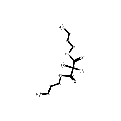 CCCCNC(=O)C(C)(C)C(=O)NCCCC